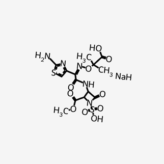 COC(=O)C1C(NC(=O)C(=NOC(C)(C)C(=O)O)c2csc(N)n2)C(=O)N1S(=O)(=O)O.[NaH]